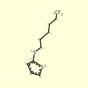 FC(F)(F)CCCCCSc1cccs1